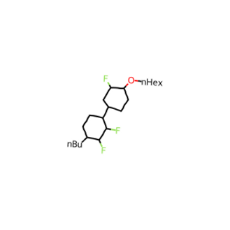 CCCCCCOC1CCC(C2CCC(CCCC)C(F)C2F)CC1F